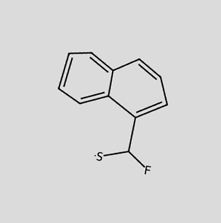 FC([S])c1cccc2ccccc12